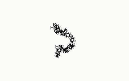 COc1c(N2CCC(OC3CCC(CN4CCN(c5cc(-c6n[nH]c7ccc(OC8(C)CC8)cc67)ncn5)CC4(C)C)CC3)CC2)ccc2c1CN(C1CCC(=O)NC1=O)C2=O